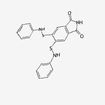 O=C1NC(=O)c2cc(SNc3ccccc3)c(SNc3ccccc3)cc21